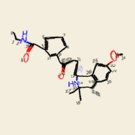 CCNC(=O)c1cccc(C(=O)/C=C2\NC(C)(C)Cc3ccc(OC)cc32)c1